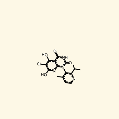 Cc1ccnc(C(C)C)c1-n1c(=O)[nH]c(=O)c2c(O)c(Cl)c(O)nc21